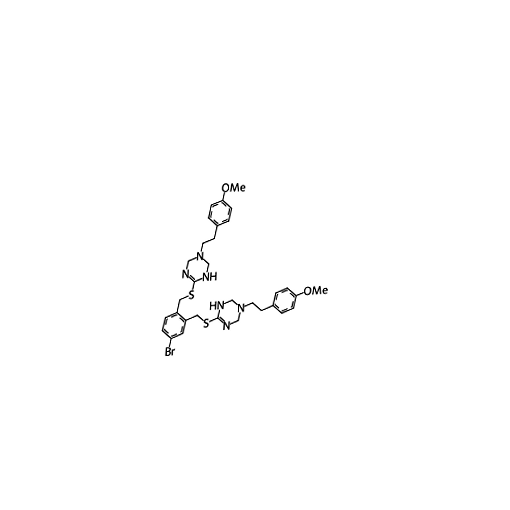 COc1ccc(CCN2CN=C(SCc3ccc(Br)cc3CSC3=NCN(CCc4ccc(OC)cc4)CN3)NC2)cc1